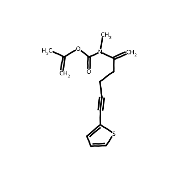 C=C(C)OC(=O)N(C)C(=C)CCC#Cc1cccs1